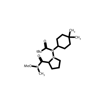 CON(C)C(=O)C1CCCN1N(C(=O)C(C)(C)C)C1CCC(C)(C)CC1